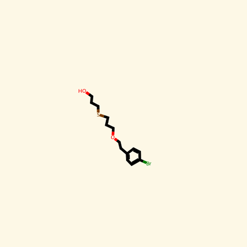 OCCCSCCCOCCc1ccc(Br)cc1